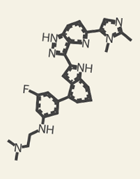 Cc1ncc(-c2ccc3[nH]nc(-c4cc5c(-c6cc(F)cc(NCCN(C)C)c6)cccc5[nH]4)c3n2)n1C